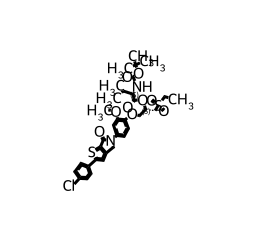 CCS(=O)(=O)C[C@H](COc1ccc(N2Cc3cc(-c4ccc(Cl)cc4)sc3C2=O)cc1OC)OC(=O)[C@@H](NC(=O)OC(C)(C)C)C(C)C